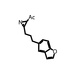 CC(=O)C1N=C1CCCc1ccc2occc2c1